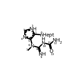 CCCCCCCc1[nH]cnc1N(C)C(=N)NC(N)=O